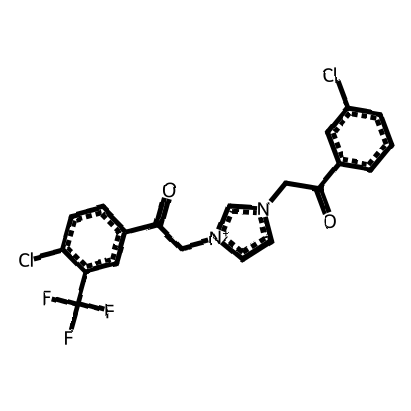 O=C(Cn1cc[n+](CC(=O)c2ccc(Cl)c(C(F)(F)F)c2)c1)c1cccc(Cl)c1